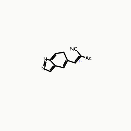 CC(=O)/C(C#N)=C/C1=CC2=CN=NC2=CC1